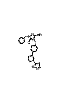 CCCCc1nn(Cc2ccccc2)c(=O)n1Cc1ccc(-c2cccc(-c3nnn[nH]3)c2)cc1